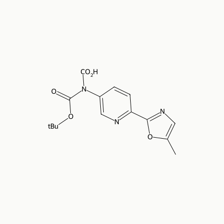 Cc1cnc(-c2ccc(N(C(=O)O)C(=O)OC(C)(C)C)cn2)o1